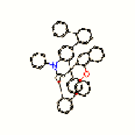 c1ccc(-c2ccccc2-c2ccc3c(c2)C2(c4ccccc4Oc4c2ccc2ccccc42)c2cc(-c4ccccc4-c4ccccc4)ccc2N3c2ccccc2)cc1